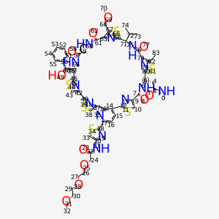 CNC(=O)C[C@@H]1NC(=O)c2csc(n2)-c2ccc(-c3nc(NC(=O)COCCOCCOC)cs3)nc2-c2csc(n2)-c2csc(n2)[C@H]([C@@H](O)c2ccccc2)NC(=O)CNC(=O)c2nc(sc2COC)C(C(C)C)NC(=O)c2nc1sc2C